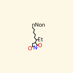 CCCCCCCCCCCCCCC(CC)C1CC(=O)[N]C1=O